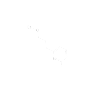 [CH2]COCCCc1cccc(C)n1